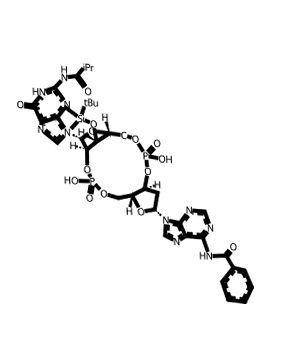 CC(C)C(=O)Nc1nc2c(ncn2[C@@H]2O[C@@H]3COP(=O)(O)O[C@H]4C[C@H](n5cnc6c(NC(=O)c7ccccc7)ncnc65)O[C@@H]4COP(=O)(O)O[C@@H]2[C@@H]3O[Si](C)(C)C(C)(C)C)c(=O)[nH]1